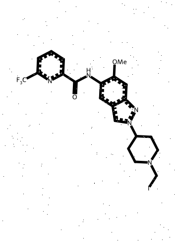 COc1cc2nn(C3CCN(CI)CC3)cc2cc1NC(=O)c1cccc(C(F)(F)F)n1